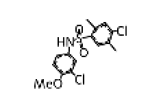 COc1ccc(NS(=O)(=O)c2cc(C)c(Cl)cc2C)cc1Cl